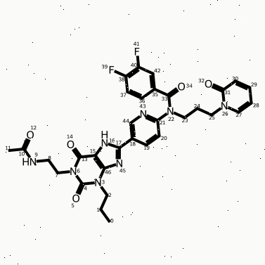 CCCn1c(=O)n(CCNC(C)=O)c(=O)c2[nH]c(-c3ccc(N(CCCn4ccccc4=O)C(=O)c4ccc(F)c(F)c4)nc3)nc21